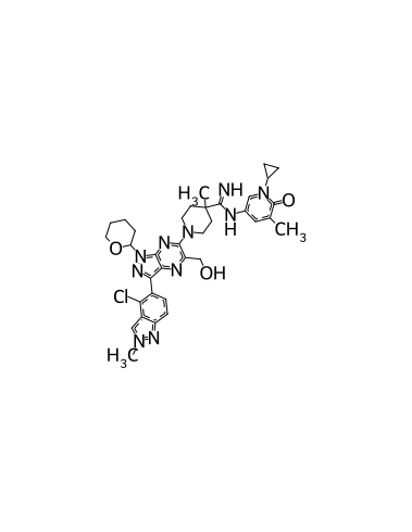 Cc1cc(NC(=N)C2(C)CCN(c3nc4c(nc3CO)c(-c3ccc5nn(C)cc5c3Cl)nn4C3CCCCO3)CC2)cn(C2CC2)c1=O